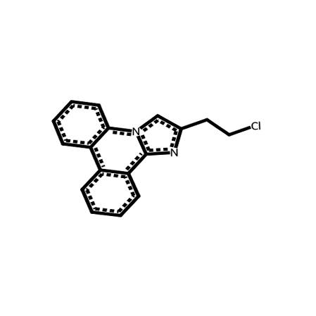 ClCCc1cn2c3ccccc3c3ccccc3c2n1